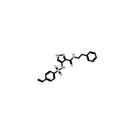 C=Cc1ccc(S(=O)(=O)Nc2c[nH]nc2C(=O)NCCc2ccccc2)cc1